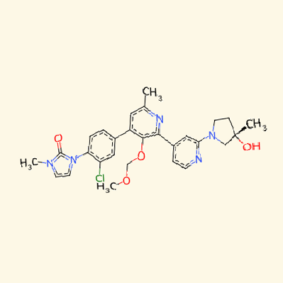 COCOc1c(-c2ccc(-n3ccn(C)c3=O)c(Cl)c2)cc(C)nc1-c1ccnc(N2CC[C@](C)(O)C2)c1